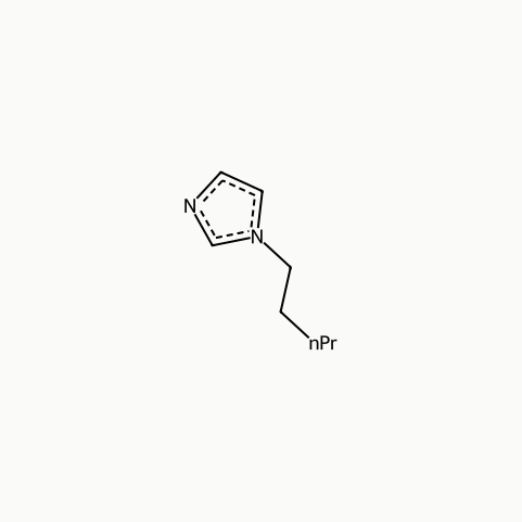 C[CH]CCCn1ccnc1